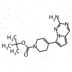 CC(C)(C)OC(=O)N1CC=C(c2ccc3cnc(N)nn23)CC1